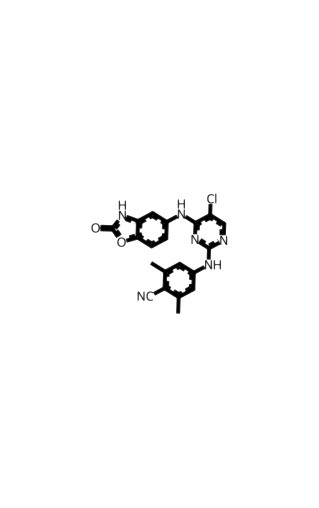 Cc1cc(Nc2ncc(Cl)c(Nc3ccc4oc(=O)[nH]c4c3)n2)cc(C)c1C#N